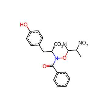 CC(ON(C(=O)c1ccccc1)[C@@H](Cc1ccc(O)cc1)C(=O)O)C(C)[N+](=O)[O-]